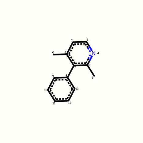 Cc1ccnc(C)c1-c1ccccc1